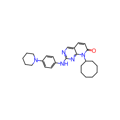 O=c1ccc2cnc(Nc3ccc(N4CCCCC4)cc3)nc2n1C1CCCCCCC1